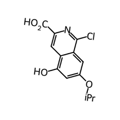 CC(C)Oc1cc(O)c2cc(C(=O)O)nc(Cl)c2c1